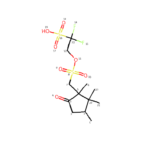 CC1CC(=O)C(C)(CS(=O)(=O)OCC(F)(F)S(=O)(=O)O)C1(C)C